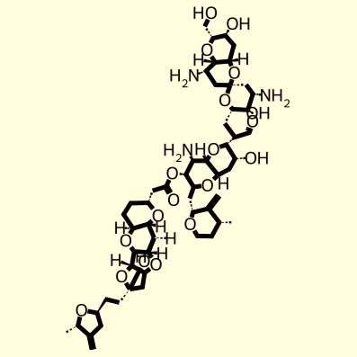 C=C1C[C@H](CC[C@@]23CC4O[C@H]5[C@@H](O2)[C@H]2O[C@@H](CC(=O)O[C@H]6C(C[C@H]7OCC[C@@H](C)C7=C)O[C@H]7C[C@@H](O)[C@@H](C(C=O)C[C@@H]8O[C@@]9(C[C@H](N)[C@@H]8O)C[C@H](N)[C@@H]8O[C@H](CO)[C@H](O)C[C@@H]8O9)O[C@H]7[C@@H]6N)CC[C@@H]2O[C@H]5[C@H]4O3)O[C@H]1C